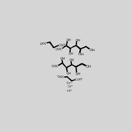 O=C([O-])C(O)C(O)C(O)C(O)CO.O=C([O-])C(O)C(O)C(O)C(O)CO.O=C([O-])CCC(=O)[O-].O=C([O-])CCC(=O)[O-].[Ca+2].[Ca+2].[Ca+2]